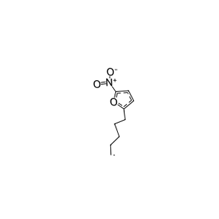 [CH2]CCCCc1ccc([N+](=O)[O-])o1